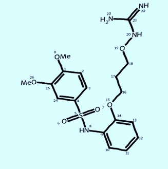 COc1ccc(S(=O)(=O)Nc2ccccc2OCCCONC(=N)N)cc1OC